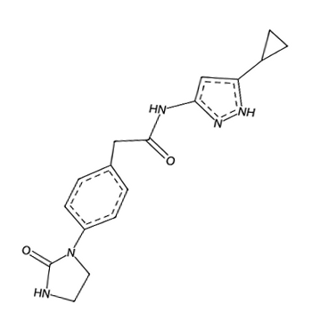 O=C(Cc1ccc(N2CCNC2=O)cc1)Nc1cc(C2CC2)[nH]n1